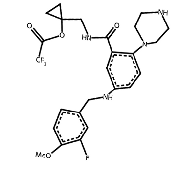 COc1ccc(CNc2ccc(N3CCNCC3)c(C(=O)NCC3(OC(=O)C(F)(F)F)CC3)c2)cc1F